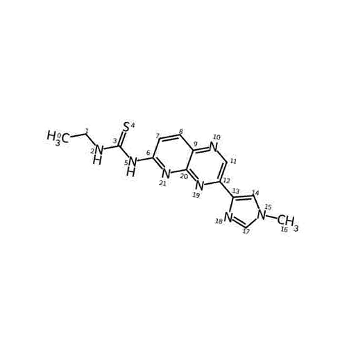 CCNC(=S)Nc1ccc2ncc(-c3cn(C)cn3)nc2n1